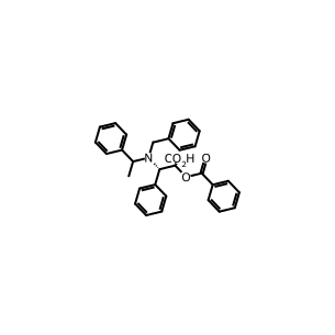 CC(c1ccccc1)N(Cc1ccccc1)[C@@H](c1ccccc1)[C@H](OC(=O)c1ccccc1)C(=O)O